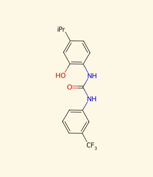 CC(C)c1ccc(NC(=O)Nc2cccc(C(F)(F)F)c2)c(O)c1